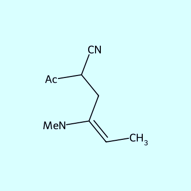 C/C=C(\CC(C#N)C(C)=O)NC